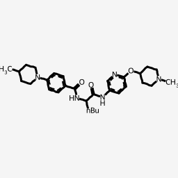 CCCCC(NC(=O)c1ccc(N2CCC(C)CC2)cc1)C(=O)Nc1ccc(OC2CCN(C)CC2)nc1